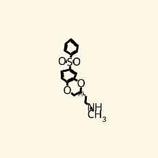 CNCC[C@@H]1COc2ccc(S(=O)(=O)c3ccccc3)cc2O1